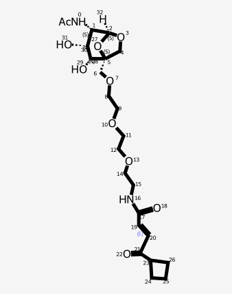 CC(=O)N[C@@H]1[C@H]2OC[C@](COCCOCCOCCNC(=O)/C=C/C(=O)C3CCC3)(O2)[C@H](O)[C@@H]1O